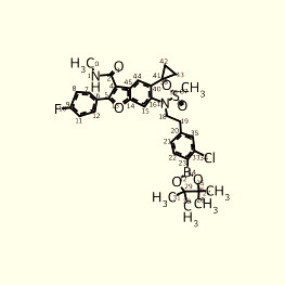 CNC(=O)c1c(-c2ccc(F)cc2)oc2cc(N(CCc3ccc(B4OC(C)(C)C(C)(C)O4)c(Cl)c3)S(C)(=O)=O)c(C3CC3)cc12